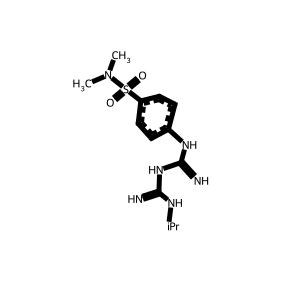 CC(C)NC(=N)NC(=N)Nc1ccc(S(=O)(=O)N(C)C)cc1